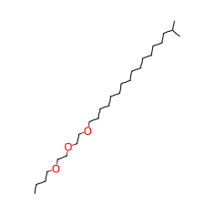 CCCCOCCOCCOCCCCCCCCCCCCCCCC(C)C